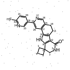 O=C1NCC2(CCC2)c2[nH]c3c(c21)CCc1cnc(-c2ccc(F)nc2)cc1-3